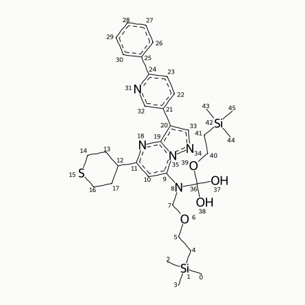 C[Si](C)(C)CCOCN(c1cc(C2CCSCC2)nc2c(-c3ccc(-c4ccccc4)nc3)cnn12)C(O)(O)OCC[Si](C)(C)C